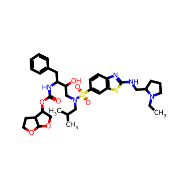 CCN1CCCC1CNc1nc2ccc(S(=O)(=O)N(CC(C)C)CC(O)C(Cc3ccccc3)NC(=O)OC3COC4OCCC34)cc2s1